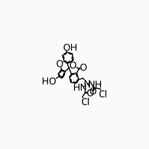 O=C(CCl)NN(Cc1cccc2c1C(=O)OC21c2ccc(O)cc2Oc2cc(O)ccc21)NC(=O)CCl